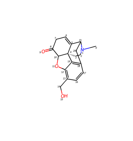 CN1CC[C@@]23C4=CCC(=O)C2Oc2c(CO)ccc(c23)CC41